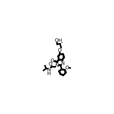 COc1ccccc1-c1nc2ccc(OC[C@@H](C)CO)cc2c(=O)n1CC(=O)NC(C)C